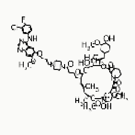 COc1cc2ncnc(Nc3ccc(F)c(Cl)c3)c2cc1OCCCN1CCN(C(=O)CCC[C@@H]2/C=C(\C)C[C@H](C)C[C@H](OC)[C@H]3O[C@@](O)(C(=O)C(=O)N4CCCC[C@H]4C(=O)O[C@H](/C(C)=C/[C@@H]4CC[C@@H](O)[C@H](OC)C4)[C@H](C)[C@@H](O)CC2=O)[C@H](C)C[C@@H]3O)CC1